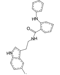 [CH2]c1ccc2[nH]cc(CCNC(=O)c3ccccc3Nc3ccccc3)c2c1